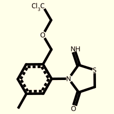 Cc1ccc(COCC(Cl)(Cl)Cl)c(N2C(=N)SCC2=O)c1